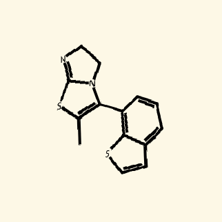 CC1=C(c2cccc3ccsc23)N2CCN=C2S1